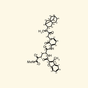 CNC(=O)C(=O)CC[C@H](NC(=O)c1oc2ccccc2c1C)C(=O)Nc1cccn(CC(=O)N(C)C2CC3CCC4CC3CC2C4)c1=O